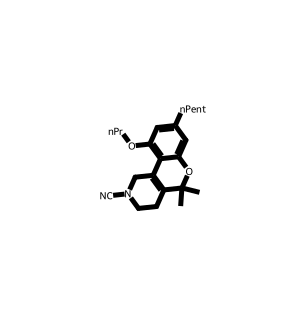 CCCCCc1cc(OCCC)c2c(c1)OC(C)(C)C1=C2CN(C#N)CC1